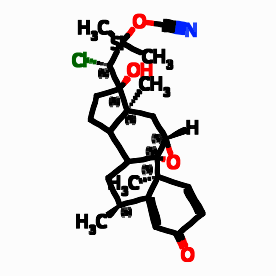 C[C@H]1CC2C3CC[C@](O)([C@H](Cl)[Si](C)(C)OC#N)[C@@]3(C)C[C@@H]3O[C@]23[C@@]2(C)C=CC(=O)C=C12